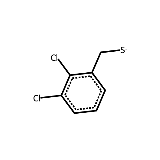 [S]Cc1cccc(Cl)c1Cl